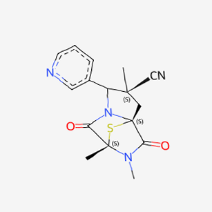 CN1C(=O)[C@@]23C[C@](C)(C#N)C(c4cccnc4)N2C(=O)[C@]1(C)S3